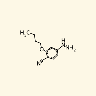 CCCCOc1cc(NN)ccc1C#N